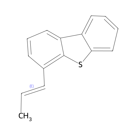 C/C=C/c1cccc2c1sc1ccccc12